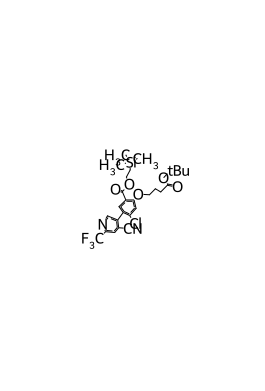 CC(C)(C)OC(=O)CCCOc1cc(Cl)c(-c2cnc(C(F)(F)F)cc2C#N)cc1C(=O)OCC[Si](C)(C)C